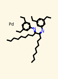 CCCCCCCCC(=Nc1cc(CC)cc(CC)c1)C(CCCCCCCC)=Nc1cc(CC)cc(CC)c1.[Pd]